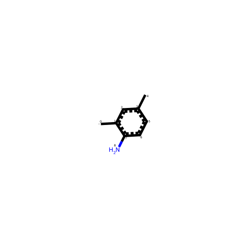 [CH2]c1cc(C)ccc1N